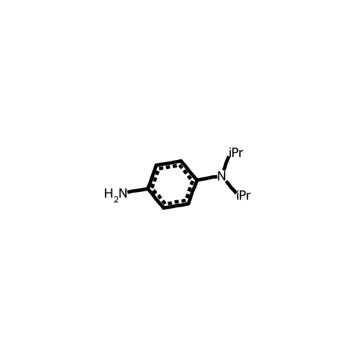 CC(C)N(c1ccc(N)cc1)C(C)C